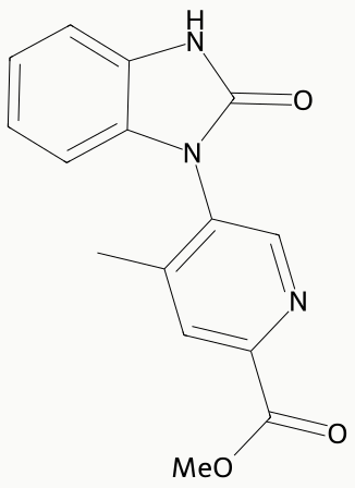 COC(=O)c1cc(C)c(-n2c(=O)[nH]c3ccccc32)cn1